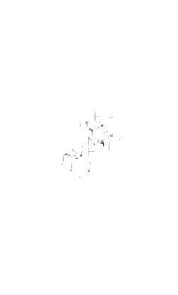 O=C(NCC12CC3CC(CC(C3)C1)C2)C(F)(F)[SH](=O)=O